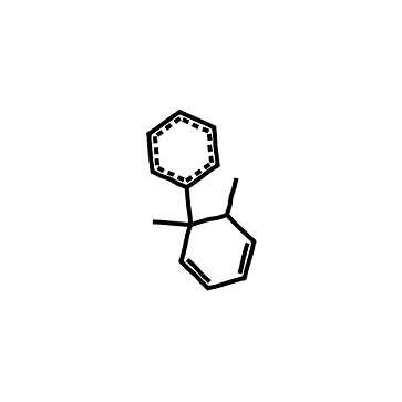 CC1C=CC=CC1(C)c1ccccc1